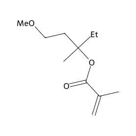 C=C(C)C(=O)OC(C)(CC)CCOC